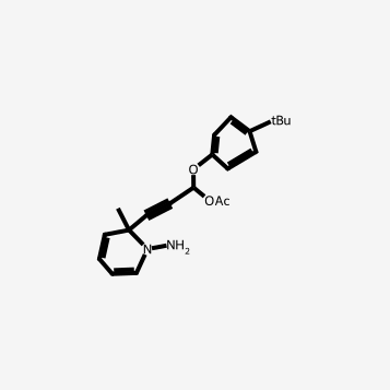 CC(=O)OC(C#CC1(C)C=CC=CN1N)Oc1ccc(C(C)(C)C)cc1